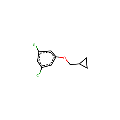 Clc1cc(Br)cc(OCC2CC2)c1